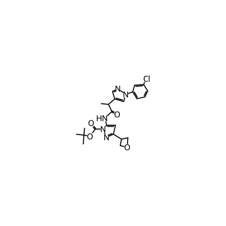 CC(C(=O)Nc1cc(C2COC2)nn1C(=O)OC(C)(C)C)c1cnn(-c2cccc(Cl)c2)c1